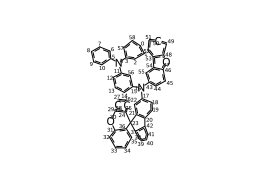 c1ccc(N(c2ccccc2)c2cccc(N(c3ccc4c(c3)C3(c5ccccc5Oc5ccccc53)c3ccccc3-4)c3ccc4oc5ccccc5c4c3)c2)cc1